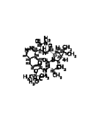 CCN(C(=O)OC(C)(C)C)[C@H](C(=O)N1C[C@H]2[C@@H]([C@H]1C(=O)NC(C(N)=O)c1nncc3ccccc13)C2(C)C)C(C)C